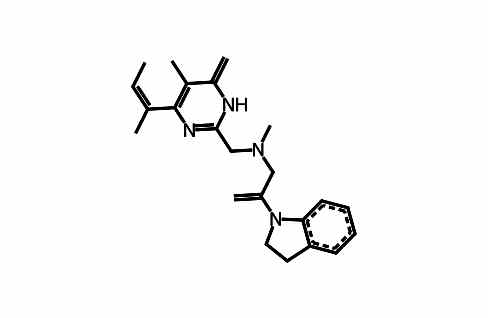 C=C1NC(CN(C)CC(=C)N2CCc3ccccc32)=NC(/C(C)=C\C)=C1C